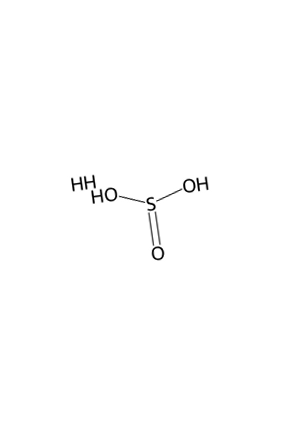 O=S(O)O.[HH]